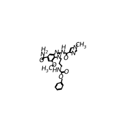 COc1cc(C(N)=O)cc2nc(NC(=O)c3cn(C)cn3)n(CCCNC(=O)OCc3ccccc3)c12